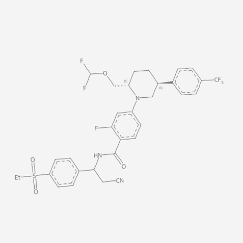 CCS(=O)(=O)c1ccc(C(CC#N)NC(=O)c2ccc(N3C[C@H](c4ccc(C(F)(F)F)cc4)CC[C@H]3COC(F)F)cc2F)cc1